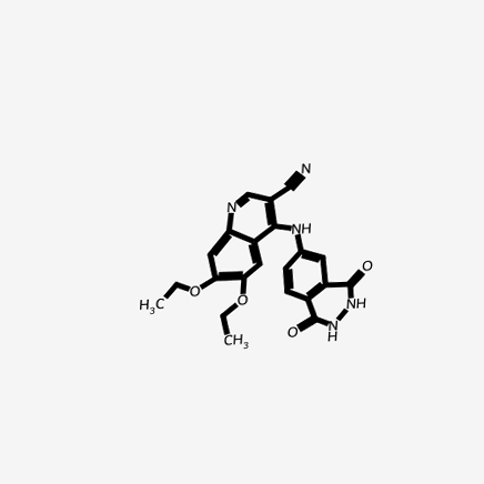 CCOc1cc2ncc(C#N)c(Nc3ccc4c(=O)[nH][nH]c(=O)c4c3)c2cc1OCC